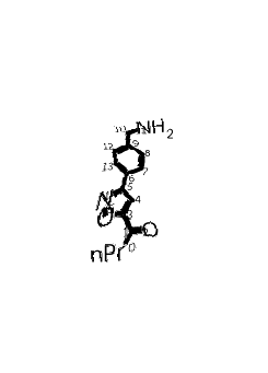 CCCC(=O)c1cc(-c2ccc(CN)cc2)no1